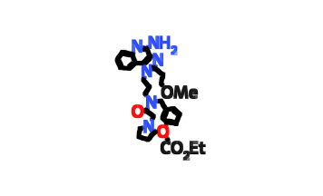 CCOC(=O)COc1cccc(CN(CCCn2c(CCOC)nc3c(N)nc4ccccc4c32)C(=O)CN2CCCC2)c1